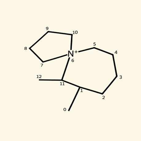 CC1CCCC[N+]2(CCCC2)C1C